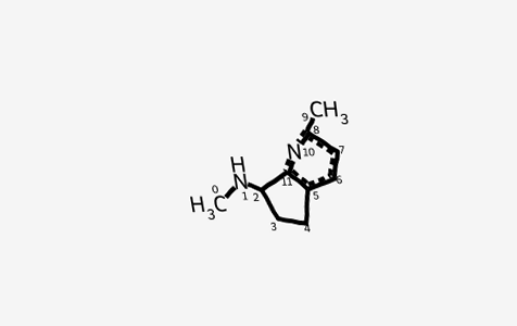 CNC1CCc2ccc(C)nc21